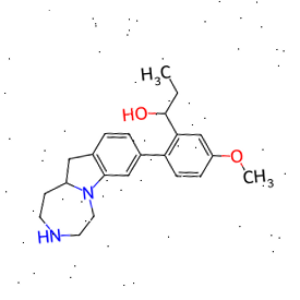 CCC(O)c1cc(OC)ccc1-c1ccc2c(c1)N1CCNCCC1C2